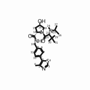 Cc1ncsc1-c1ccc(CNC(=O)[C@@H]2C[C@@H](O)CN2C(=O)[C@@H](N(C)C(C)C)C(C)(C)C)cc1